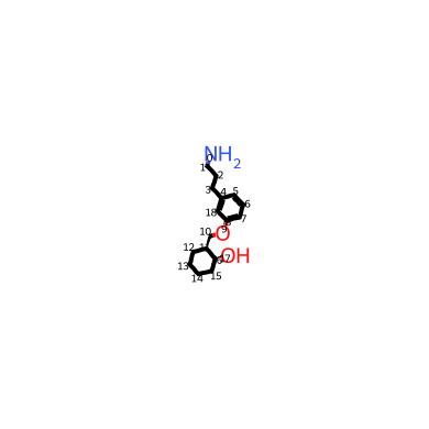 NCCCc1cccc(OC[C@@H]2CCCC[C@H]2O)c1